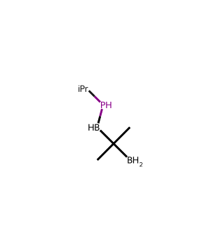 BC(C)(C)BPC(C)C